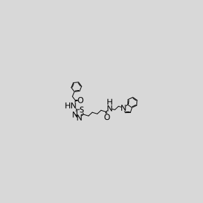 O=C(CCCCc1nnc(NC(=O)Cc2ccccc2)s1)NCCn1ccc2ccccc21